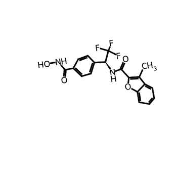 Cc1c(C(=O)N[C@@H](c2ccc(C(=O)NO)cc2)C(F)(F)F)oc2ccccc12